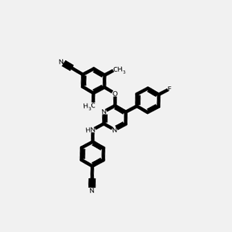 Cc1cc(C#N)cc(C)c1Oc1nc(Nc2ccc(C#N)cc2)ncc1-c1ccc(F)cc1